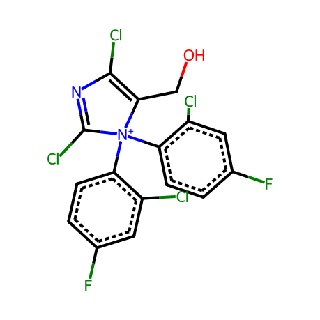 OCC1=C(Cl)N=C(Cl)[N+]1(c1ccc(F)cc1Cl)c1ccc(F)cc1Cl